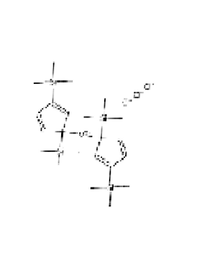 C[Si](C)(C)C1=C[C]([V+3][C]2([Si](C)(C)C)C=CC([Si](C)(C)C)=C2)([Si](C)(C)C)C=C1.[Cl-].[Cl-].[Cl-]